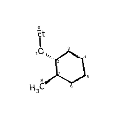 CCO[C@@H]1CCCC[C@H]1C